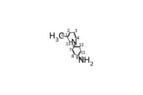 CC1=CC=CN(c2ccc(N)cc2)C1